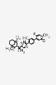 CN(c1cnc(-c2ccc(-c3cc(=O)n(C)cc3F)cc2O)nn1)[C@@H]1C[C@@]2(C)CCC[C@](C)(C2)[C@@H]1F